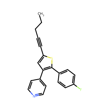 CCCC#Cc1cc(-c2ccncc2)c(-c2ccc(F)cc2)s1